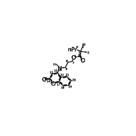 CCCC(C)(I)C(=O)OCCCN(C)c1cc(=O)oc2ccccc12